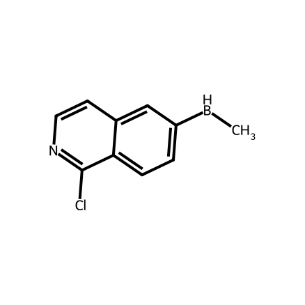 CBc1ccc2c(Cl)nccc2c1